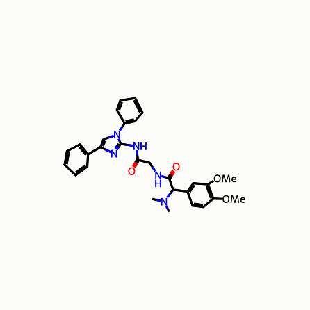 COc1ccc(C(C(=O)NCC(=O)Nc2nc(-c3ccccc3)cn2-c2ccccc2)N(C)C)cc1OC